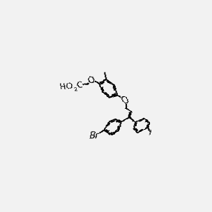 Cc1cc(OC/C=C(\c2ccc(Br)cc2)c2ccc(I)cc2)ccc1OCC(=O)O